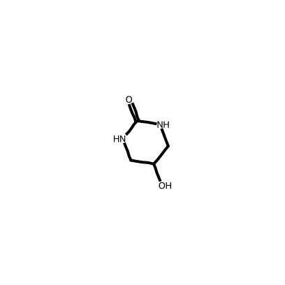 O=C1NCC(O)CN1